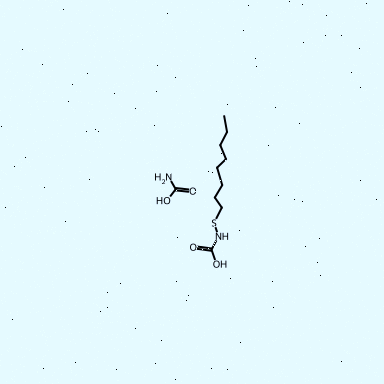 CCCCCCCCSNC(=O)O.NC(=O)O